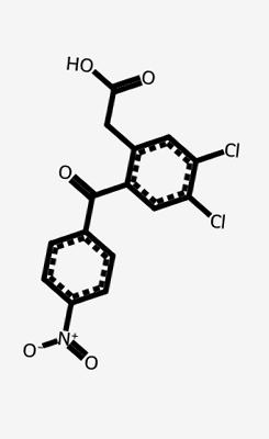 O=C(O)Cc1cc(Cl)c(Cl)cc1C(=O)c1ccc([N+](=O)[O-])cc1